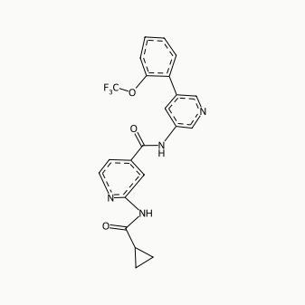 O=C(Nc1cncc(-c2ccccc2OC(F)(F)F)c1)c1ccnc(NC(=O)C2CC2)c1